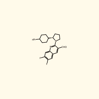 CCCC1CCC([C@H]2CCCN2c2nc3cc(F)c(F)cc3cc2C=O)CC1